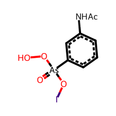 CC(=O)Nc1cccc([As](=O)(OO)OI)c1